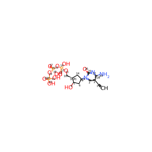 C#Cc1cn([C@H]2CC(O)[C@@H](COP(=O)(O)OP(=O)(O)OP(=O)(O)O)C2)c(=O)nc1N